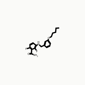 CCCCCOc1cccc(CNc2ccc(F)c(C(N)=O)c2F)c1